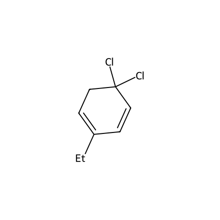 CCC1=CCC(Cl)(Cl)C=C1